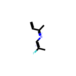 C=C/C(C)=N\C=C(/C)F